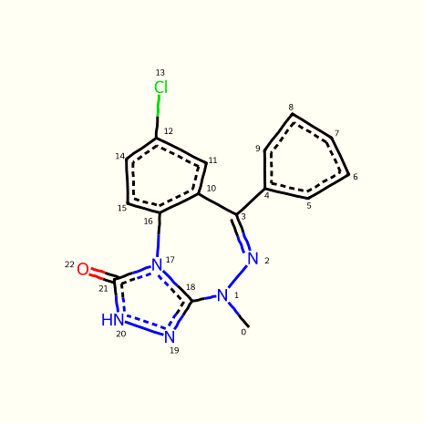 CN1N=C(c2ccccc2)c2cc(Cl)ccc2-n2c1n[nH]c2=O